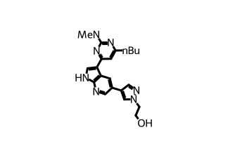 CCCCc1cc(-c2c[nH]c3ncc(-c4cnn(CCO)c4)cc23)nc(NC)n1